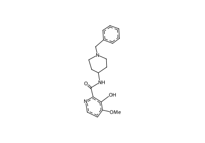 COc1ccnc(C(=O)NC2CCN(Cc3ccccc3)CC2)c1O